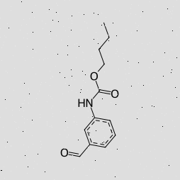 CCCCOC(=O)Nc1cccc(C=O)c1